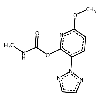 CNC(=O)Oc1nc(OC)ccc1-n1nccn1